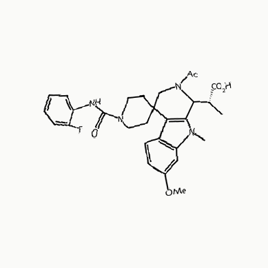 COc1ccc2c3c(n(C)c2c1)C([C@@H](C)C(=O)O)N(C(C)=O)CC31CCN(C(=O)Nc2ccccc2F)CC1